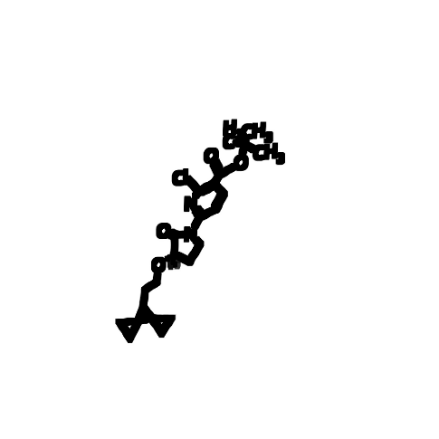 CC(C)(C)OC(=O)c1ccc(N2CC[C@H](OCCC3C4(CC4)C34CC4)C2=O)nc1Cl